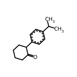 CC(C)c1ccc(C2CCCCC2=O)cc1